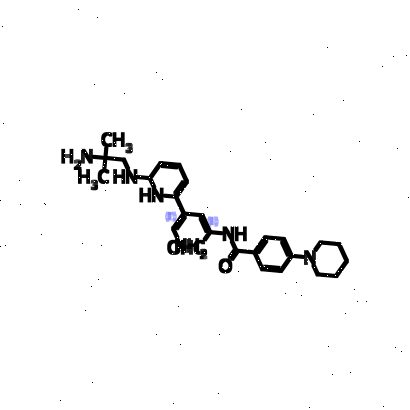 CC(C)(N)CNC1C=CC=C(C(/C=C(\C=O)NC(=O)c2ccc(N3CCCCC3)cc2)=C/N)N1